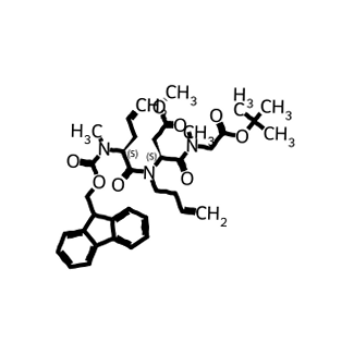 C=CCCN(C(=O)[C@H](CC=C)N(C)C(=O)OCC1c2ccccc2-c2ccccc21)[C@@H](CC(=O)OC)C(=O)N(C)CC(=O)OC(C)(C)C